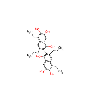 CCCc1cc2c(CC)c(O)c(O)cc2c(O)c1-c1c(CCC)cc2c(CC)c(O)c(O)cc2c1O